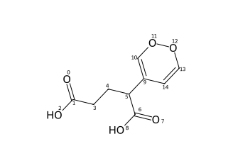 O=C(O)CCC(C(=O)O)C1=COOC=C1